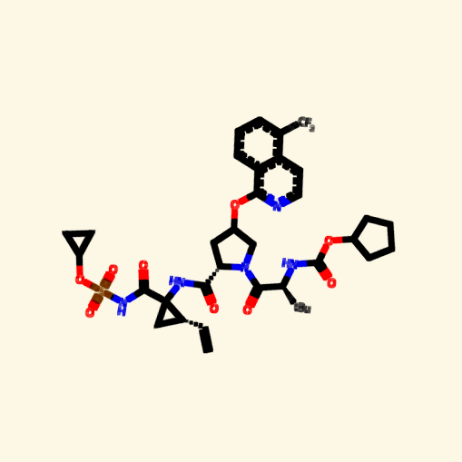 C=C[C@@H]1CC1(NC(=O)[C@@H]1CC(Oc2nccc3c(C(F)(F)F)cccc23)CN1C(=O)[C@@H](NC(=O)OC1CCCC1)C(C)(C)C)C(=O)NS(=O)(=O)OC1CC1